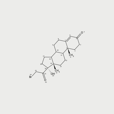 C[C@]12CCC(=O)C=C1CCC1C2CC[C@@]2(C)C1CC[C@]2(O)C(=O)CBr